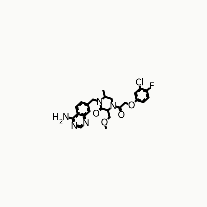 COCC1C(=O)N(Cc2ccc3c(N)ncnc3c2)C(C)CN1C(=O)COc1ccc(F)c(Cl)c1